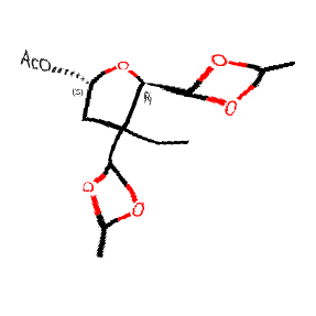 CC(=O)O[C@H]1CC(C)(C2OC(C)O2)[C@H](C2OC(C)O2)O1